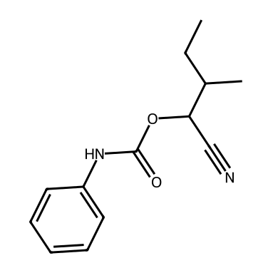 CCC(C)C(C#N)OC(=O)Nc1ccccc1